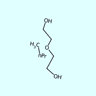 CCCC.OCCOCCO